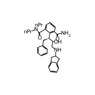 CCCN(CCC)C(=O)c1cccc(C(N)=O)c1[C@H](Cc1ccccc1)[C@@H](O)CNC1Cc2ccccc2C1